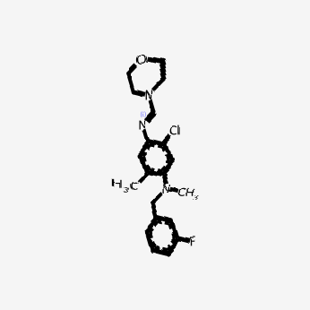 Cc1cc(/N=C/N2CCOCC2)c(Cl)cc1N(C)Cc1cccc(F)c1